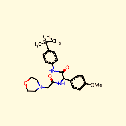 COc1ccc(C(NC(=O)CN2CCOCC2)C(=O)Nc2ccc([Si](C)(C)C)cc2)cc1